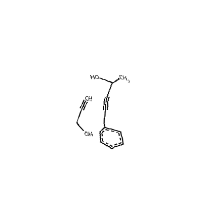 C#CCO.CC(O)C#Cc1ccccc1